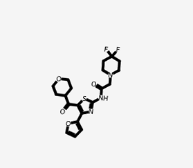 O=C(CN1CCC(F)(F)CC1)Nc1nc(-c2ccco2)c(C(=O)C2CCOCC2)s1